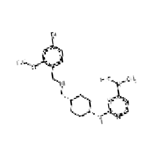 CN(C)c1ccnc(N[C@H]2CC[C@@H](CNCc3ccc(Br)cc3OC(F)(F)F)CC2)n1